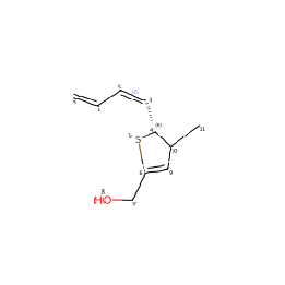 C=C/C=C\[C@H]1SC(CO)=CC1C